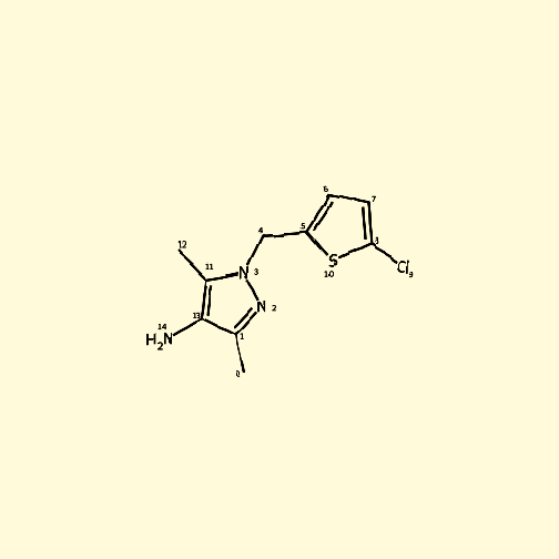 Cc1nn(Cc2ccc(Cl)s2)c(C)c1N